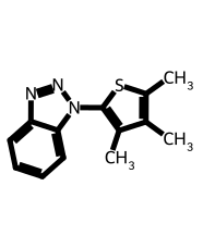 Cc1sc(-n2nnc3ccccc32)c(C)c1C